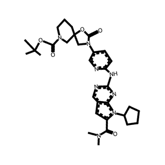 CN(C)C(=O)c1cc2cnc(Nc3ccc(N4CC5(CCCN(C(=O)OC(C)(C)C)C5)OC4=O)cn3)nc2n1C1CCCC1